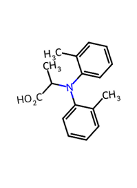 Cc1ccccc1N(c1ccccc1C)C(C)C(=O)O